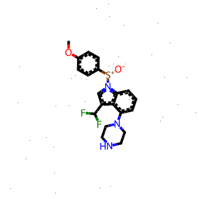 COc1ccc([S+]([O-])n2cc(C(F)F)c3c(N4CCNCC4)cccc32)cc1